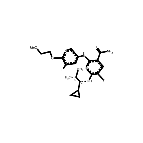 COCCOc1ncc(Nc2nc(N[C@H](C3CC3)[C@H](C)N)c(F)cc2C(N)=O)cc1F